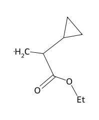 [CH2]C(C(=O)OCC)C1CC1